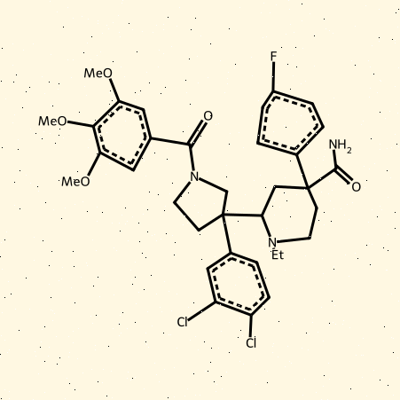 CCN1CCC(C(N)=O)(c2ccc(F)cc2)CC1C1(c2ccc(Cl)c(Cl)c2)CCN(C(=O)c2cc(OC)c(OC)c(OC)c2)C1